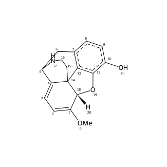 COC1=CC=C2C3Cc4ccc(O)c5c4C2(CCN3)[C@@H]1O5